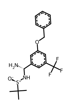 CC(C)(C)[S@@+]([O-])N[C@H](N)c1cc(OCc2ccccc2)cc(C(F)(F)F)c1